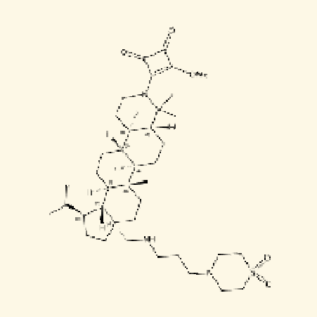 C=C(C)[C@@H]1CC[C@]2(CNCCCN3CCS(=O)(=O)CC3)CC[C@]3(C)[C@H](CC[C@@H]4[C@@]5(C)CCN(c6c(OC)c(=O)c6=O)C(C)(C)[C@@H]5CC[C@]43C)[C@@H]12